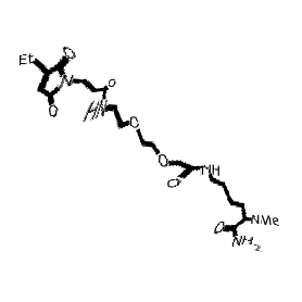 CCC1=CC(=O)N(CCC(=O)NCCOCCOCC(=O)NCCCCC(NC)C(N)=O)C1=O